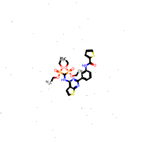 CCOP(=O)(OCC)C(Nc1nc(-c2cccc(NC(=O)c3cccs3)c2)nc2sccc12)P(=O)(OCC)OCC